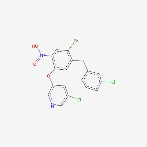 O=[N+](O)c1cc(Br)c(Cc2cccc(Cl)c2)cc1Oc1cncc(Cl)c1